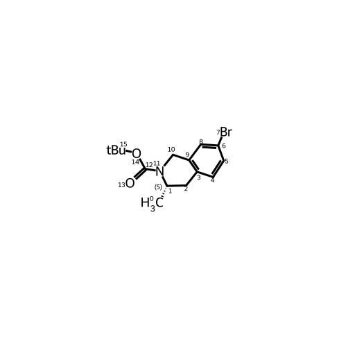 C[C@H]1Cc2ccc(Br)cc2CN1C(=O)OC(C)(C)C